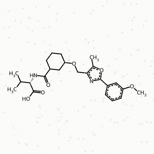 COc1cccc(-c2nc(COC3CCCC(C(=O)N[C@H](C(=O)O)C(C)C)C3)c(C)o2)c1